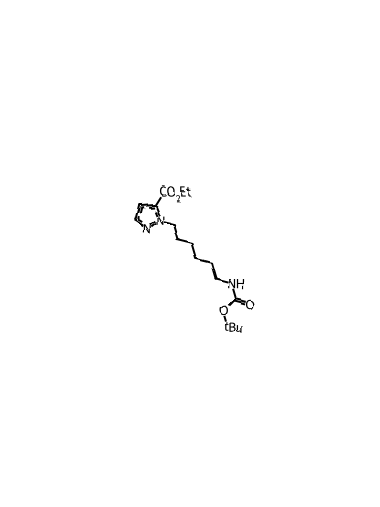 CCOC(=O)c1ccnn1CCCCCCNC(=O)OC(C)(C)C